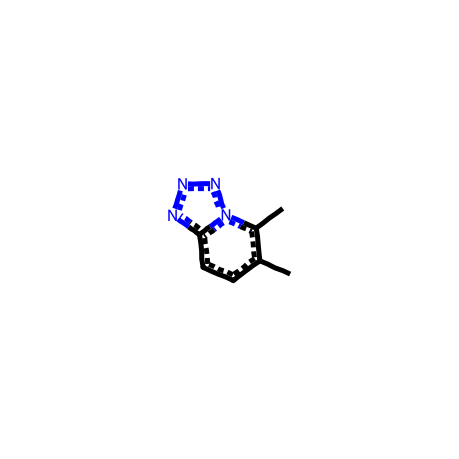 Cc1ccc2nnnn2c1C